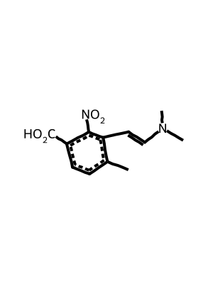 Cc1ccc(C(=O)O)c([N+](=O)[O-])c1C=CN(C)C